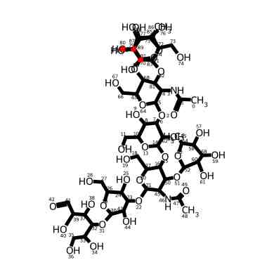 CC(=O)NC1C(OC2C(O)C(CO)OC(OC3C(CO)OC(OC4C(O)C(CO)OC(OC(C(O)CO)C(O)C(O)C=O)C4O)C(NC(C)=O)C3OC3OC(C)C(O)C(O)C3O)C2O)OC(CO)C(OC2OC(CO)C(O)C(O)C2O)C1OC1OC(C)C(O)C(O)C1O